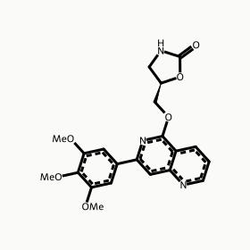 COc1cc(-c2cc3ncccc3c(OC[C@H]3CNC(=O)O3)n2)cc(OC)c1OC